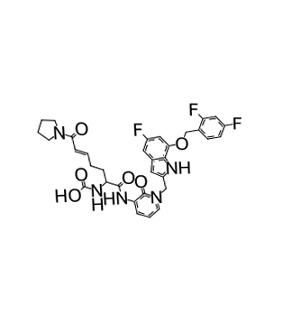 O=C(O)NC(CCC=CC(=O)N1CCCC1)C(=O)Nc1cccn(Cc2cc3cc(F)cc(OCc4ccc(F)cc4F)c3[nH]2)c1=O